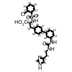 O=C(NCCc1c[nH]cn1)Nc1cccc(-c2ccc(C[C@H](NS(=O)(=O)c3ccccc3Cl)C(=O)O)cc2)c1